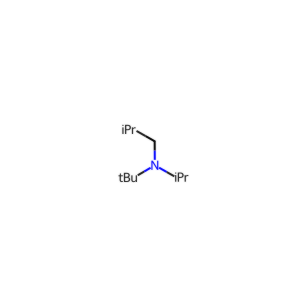 CC(C)CN(C(C)C)C(C)(C)C